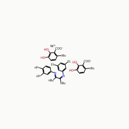 CCCCC(=Nc1cc(CC)cc(CC)c1)C(CCCC)=Nc1ccc(CCC)c(CCC)c1.CCCCc1ccc(O)c(O)c1C(=O)[O-].CCCCc1ccc(O)c(O)c1C(=O)[O-].[Ni+2]